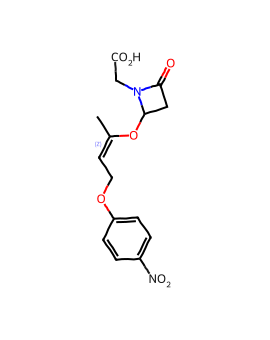 C/C(=C/COc1ccc([N+](=O)[O-])cc1)OC1CC(=O)N1CC(=O)O